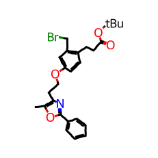 Cc1oc(-c2ccccc2)nc1CCOc1ccc(CCC(=O)OC(C)(C)C)c(CBr)c1